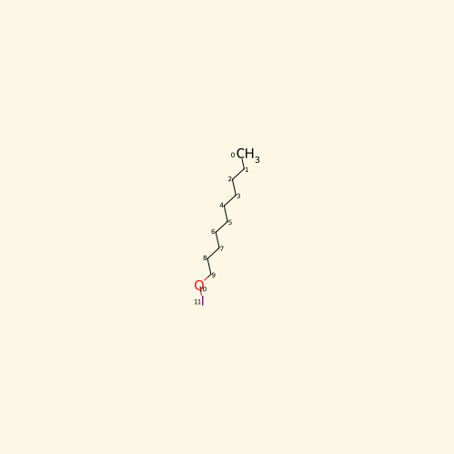 CCCCCCCCCCOI